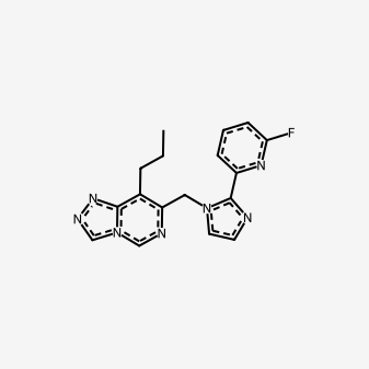 CCCc1c(Cn2ccnc2-c2cccc(F)n2)ncn2cnnc12